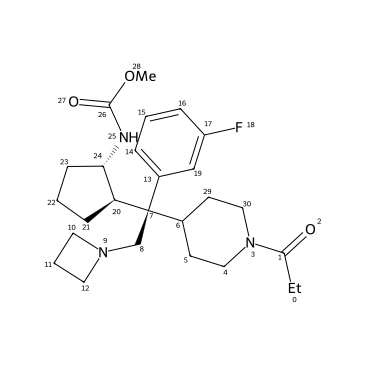 CCC(=O)N1CCC([C@@](CN2CCC2)(c2cccc(F)c2)[C@H]2CCC[C@@H]2NC(=O)OC)CC1